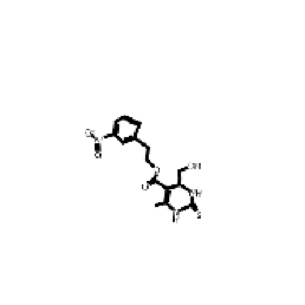 CC1=C(C(=O)OCCc2cccc([N+](=O)[O-])c2)C(CO)NC(=S)N1